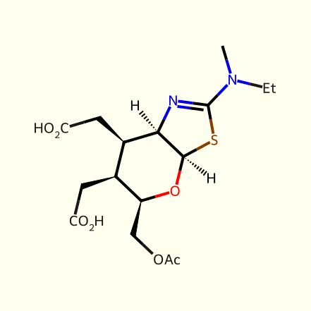 CCN(C)C1=N[C@@H]2[C@H](CC(=O)O)[C@H](CC(=O)O)[C@H](COC(C)=O)O[C@@H]2S1